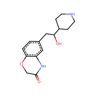 O=C1COc2ccc(CC(O)C3CCNCC3)cc2N1